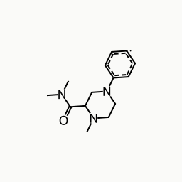 CN(C)C(=O)C1CN(c2cc[c]cc2)CCN1C